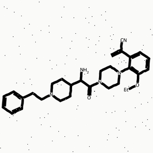 C=C(C#N)c1cccc(OCC)c1N1CCN(C(=O)C(N)C2CCN(CCc3ccccc3)CC2)CC1